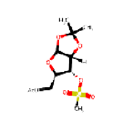 CC(=O)OC[C@H]1OC2OC(C)(C)O[C@@H]2[C@@H]1OS(C)(=O)=O